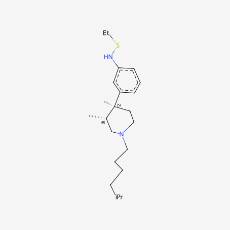 CCSNc1cccc([C@@]2(C)CCN(CCCCC(C)C)C[C@@H]2C)c1